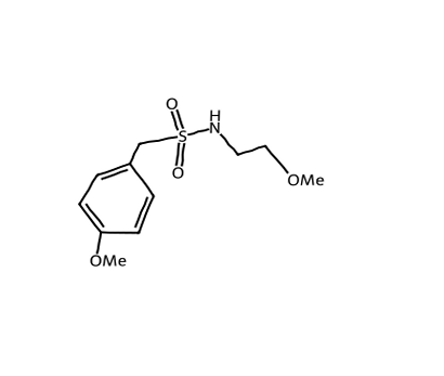 COCCNS(=O)(=O)Cc1ccc(OC)cc1